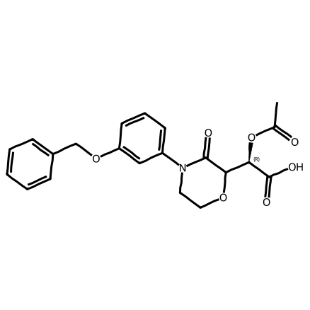 CC(=O)O[C@@H](C(=O)O)C1OCCN(c2cccc(OCc3ccccc3)c2)C1=O